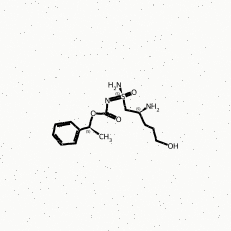 C[C@H](OC(=O)N=[S@](N)(=O)C[C@@H](N)CCCO)c1ccccc1